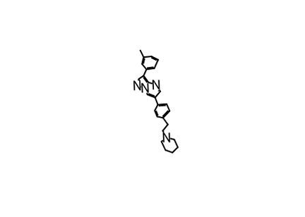 Cc1cccc(-c2cnn3cc(-c4ccc(CCN5CCCCC5)cc4)cnc23)c1